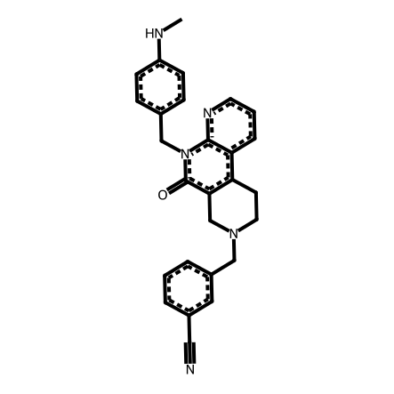 CNc1ccc(Cn2c(=O)c3c(c4cccnc42)CCN(Cc2cccc(C#N)c2)C3)cc1